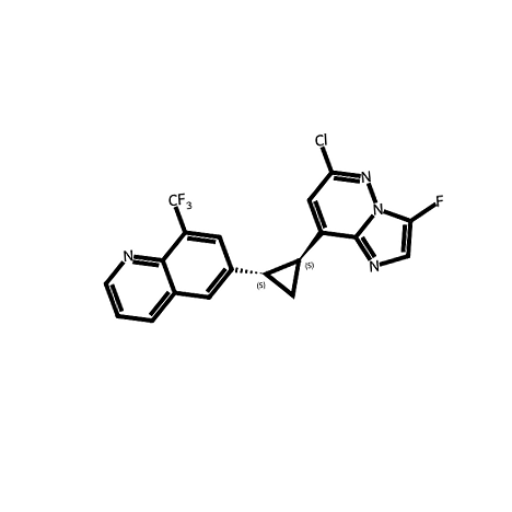 Fc1cnc2c([C@H]3C[C@@H]3c3cc(C(F)(F)F)c4ncccc4c3)cc(Cl)nn12